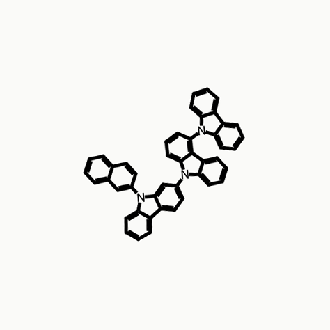 c1ccc2cc(-n3c4ccccc4c4ccc(-n5c6ccccc6c6c(-n7c8ccccc8c8ccccc87)cccc65)cc43)ccc2c1